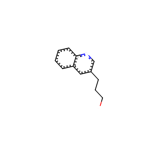 [O]CCCc1cnc2ccccc2c1